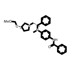 COCO[C@H]1CCN(C[C@H](c2ccccc2)N(C)c2ccc(NC(=O)c3ccccc3)cc2)C1